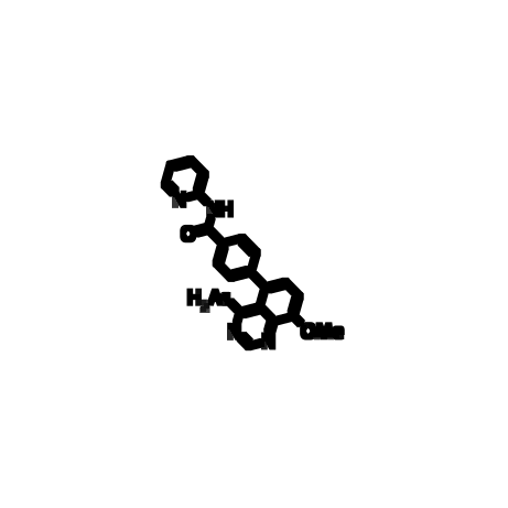 COc1ccc(-c2ccc(C(=O)Nc3ccccn3)cc2)c2c([AsH2])ncnc12